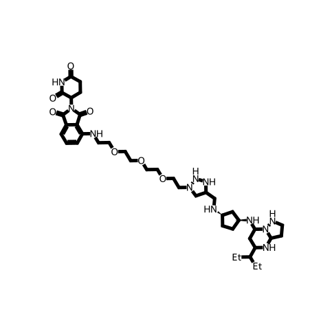 CCC(CC)C1CC(N[C@H]2CC[C@H](NCC3CN(CCOCCOCCOCCNc4cccc5c4C(=O)N(C4CCC(=O)NC4=O)C5=O)NN3)C2)N2NCCC2N1